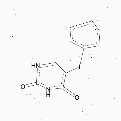 O=c1[nH]cc([I]c2ccccc2)c(=O)[nH]1